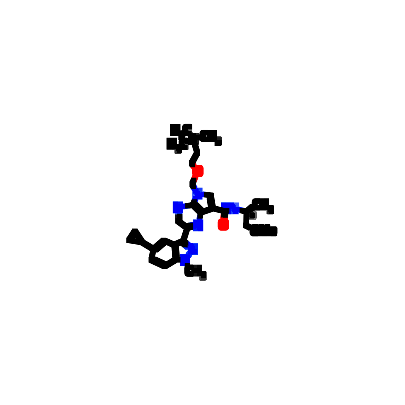 COC[C@H](C)NC(=O)c1cn(COCC[Si](C)(C)C)c2ncc(-c3nn(C)c4ccc(C5CC5)cc34)nc12